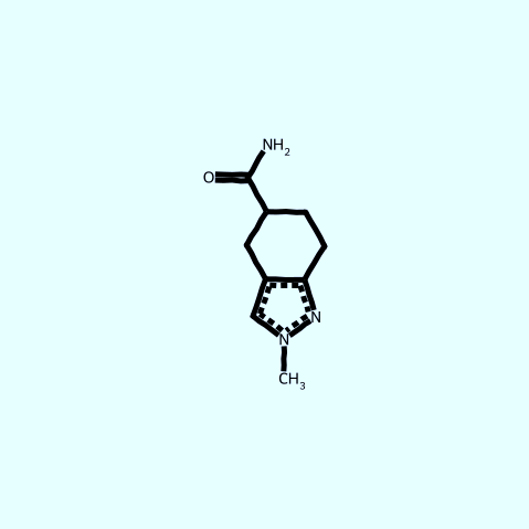 Cn1cc2c(n1)CCC(C(N)=O)C2